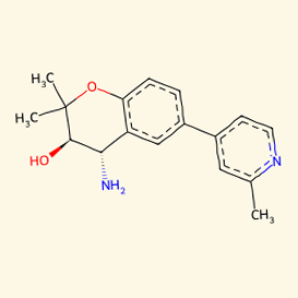 Cc1cc(-c2ccc3c(c2)[C@H](N)[C@@H](O)C(C)(C)O3)ccn1